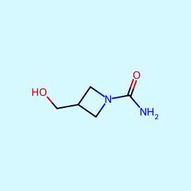 NC(=O)N1CC(CO)C1